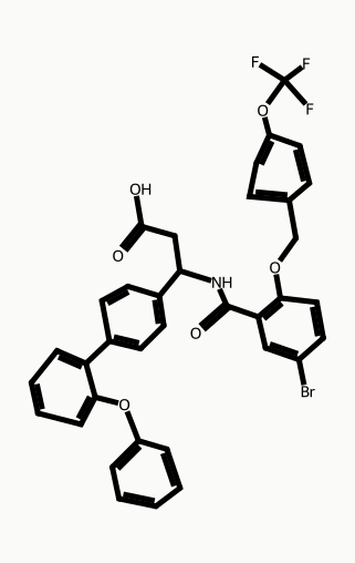 O=C(O)CC(NC(=O)c1cc(Br)ccc1OCc1ccc(OC(F)(F)F)cc1)c1ccc(-c2ccccc2Oc2ccccc2)cc1